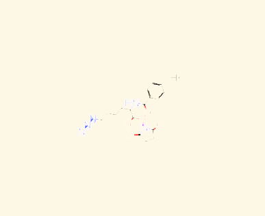 [N-]=[N+]=NCCCCC(NC(=O)c1ccc(C=O)cc1)C(=O)ON1C(=O)CCC1=O